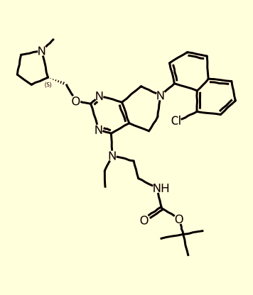 CCN(CCNC(=O)OC(C)(C)C)c1nc(OC[C@@H]2CCCN2C)nc2c1CCN(c1cccc3cccc(Cl)c13)C2